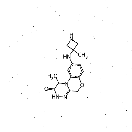 CC1C(=O)NN=C2COc3ccc(NC4(C)CNC4)cc3N21